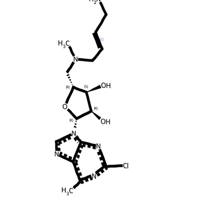 Cc1nc(Cl)nc2c1ncn2[C@@H]1O[C@H](CN(C)C/C=C/CN)[C@@H](O)[C@H]1O